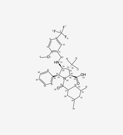 COc1ccc(C(F)(F)F)cc1CN[C@H]1[C@H](C(C)(C)C)[C@@H](C(=O)O)N(C(=O)C2CC(C)CC(C)C2)[C@H]1c1ccccc1